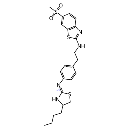 CCCCC1CS/C(=N\c2ccc(CCNc3nc4ccc(S(C)(=O)=O)cc4s3)cc2)N1